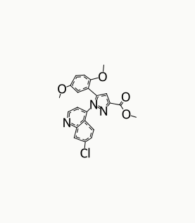 COC(=O)c1cc(-c2cc(OC)ccc2OC)n(-c2ccnc3cc(Cl)ccc23)n1